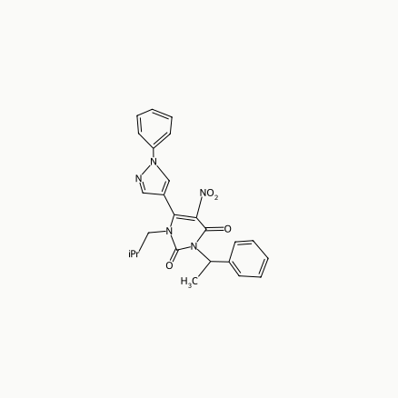 CC(C)Cn1c(-c2cnn(-c3ccccc3)c2)c([N+](=O)[O-])c(=O)n(C(C)c2ccccc2)c1=O